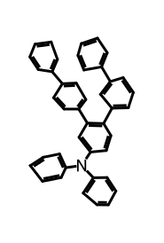 c1ccc(-c2ccc(-c3cc(N(c4ccccc4)c4ccccc4)ccc3-c3cccc(-c4ccccc4)c3)cc2)cc1